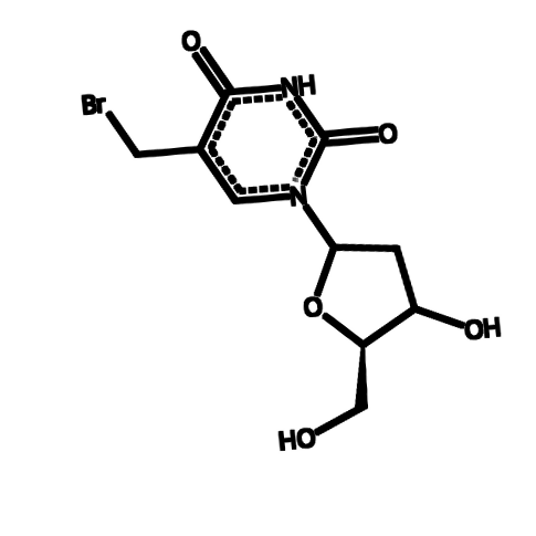 O=c1[nH]c(=O)n(C2CC(O)[C@@H](CO)O2)cc1CBr